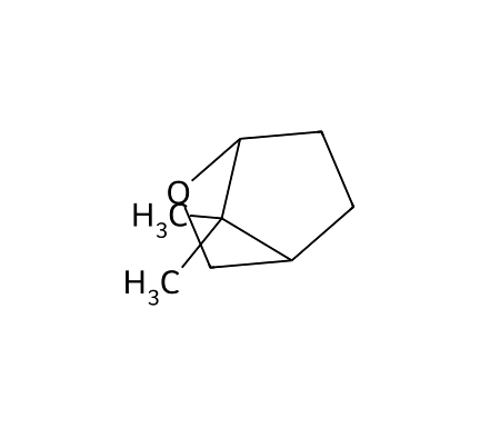 CC1(C)C2CCC1OC2